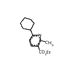 CCOC(=O)c1ccc(C2CCCCC2)nc1C